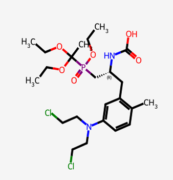 CCOC(C)(OCC)P(=O)(C[C@@H](Cc1cc(N(CCCl)CCCl)ccc1C)NC(=O)O)OCC